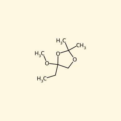 CCC1(OC)COC(C)(C)O1